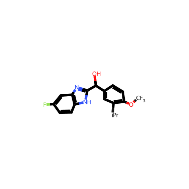 CC(C)c1cc(C(O)c2nc3cc(F)ccc3[nH]2)ccc1OC(F)(F)F